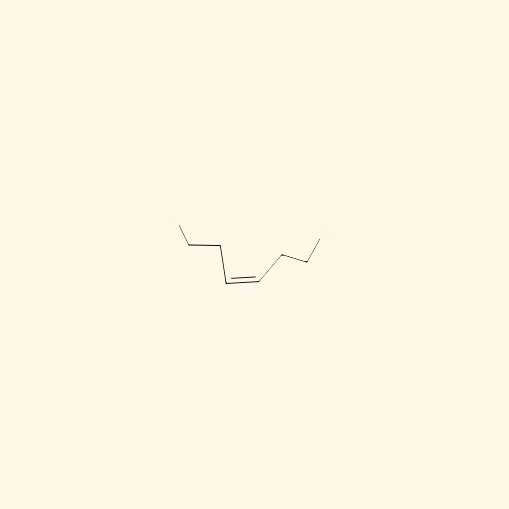 CCCCCC/C=C\CCCl